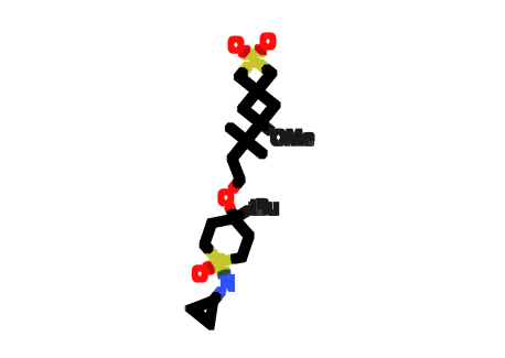 COC1(C(C)(C)CCOC2(C(C)(C)C)CCS(=O)(=NC3CC3)CC2)CC2(C1)CS(=O)(=O)C2